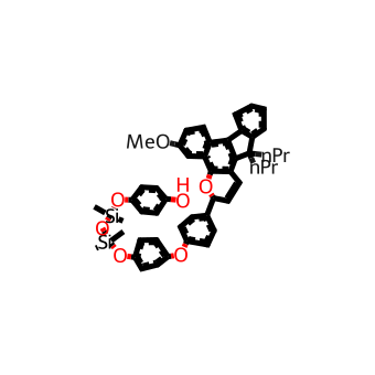 CCCC1(CCC)c2ccccc2-c2c1c1c(c3cc(OC)ccc23)OC(c2ccc(Oc3ccc(O[Si](C)(C)O[Si](C)(C)Oc4ccc(O)cc4)cc3)cc2)C=C1